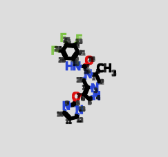 C[C@H]1Cn2ncc(Oc3ncccn3)c2CN1C(=O)Nc1cc(F)c(F)c(F)c1